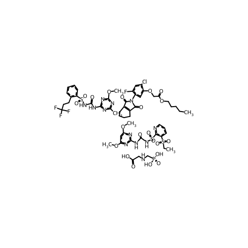 CCCCCOC(=O)COc1cc(N2C(=O)C3=C(CCCC3)C2=O)c(F)cc1Cl.CCS(=O)(=O)c1cccnc1S(=O)(=O)NC(=O)Nc1nc(OC)cc(OC)n1.COc1nc(C)nc(NC(=O)NS(=O)(=O)c2ccccc2CCC(F)(F)F)n1.O=C(O)CNCP(=O)(O)O